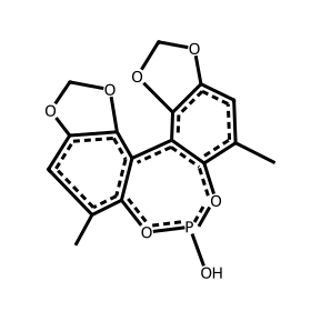 Cc1cc2c(c3c1op(O)oc1c(C)cc4c(c13)OCO4)OCO2